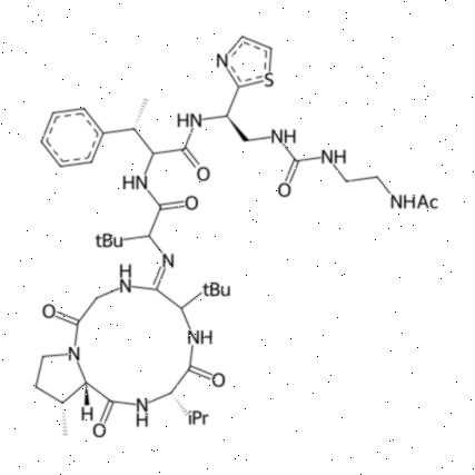 CC(=O)NCCNC(=O)NC[C@@H](NC(=O)C(NC(=O)C(/N=C1\NCC(=O)N2CC[C@@H](C)[C@H]2C(=O)N[C@@H](C(C)C)C(=O)NC1C(C)(C)C)C(C)(C)C)[C@@H](C)c1ccccc1)c1nccs1